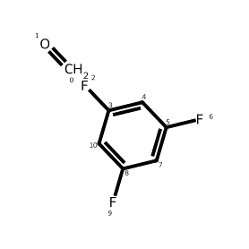 C=O.Fc1cc(F)cc(F)c1